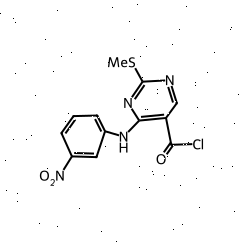 CSc1ncc(C(=O)Cl)c(Nc2cccc([N+](=O)[O-])c2)n1